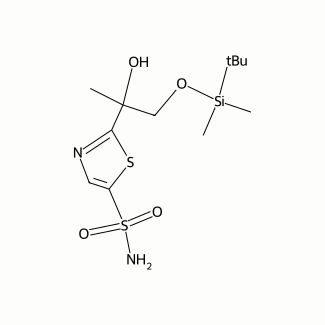 CC(O)(CO[Si](C)(C)C(C)(C)C)c1ncc(S(N)(=O)=O)s1